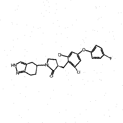 O=C1[C@H](Cc2c(Cl)cc(Oc3ccc(F)cc3)cc2Cl)CCN1C1CCc2n[nH]cc2C1